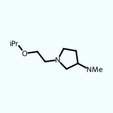 CNC1CCN(CCOC(C)C)C1